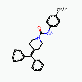 COc1ccc(NC(=O)N2CCC(=C(c3ccccc3)c3ccccc3)CC2)cc1